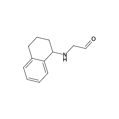 O=CCNC1CCCc2ccccc21